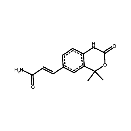 CC1(C)OC(=O)Nc2ccc(C=CC(N)=O)cc21